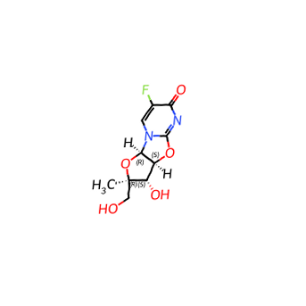 C[C@]1(CO)O[C@@H]2[C@@H](Oc3nc(=O)c(F)cn32)[C@@H]1O